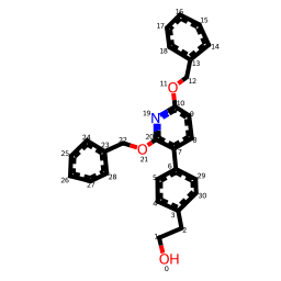 OCCc1ccc(-c2ccc(OCc3ccccc3)nc2OCc2ccccc2)cc1